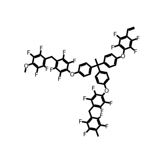 C=Cc1c(F)c(F)c(Oc2ccc(C(C)(c3ccc(Oc4c(F)c(F)c(Cc5c(F)c(F)c(C)c(F)c5F)c(F)c4F)cc3)c3ccc(Oc4c(F)c(F)c(Cc5c(F)c(F)c(OC)c(F)c5F)c(F)c4F)cc3)cc2)c(F)c1F